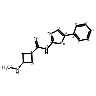 CN[C@H]1C[C@@H](C(=O)Nc2ncc(-c3ccccc3)s2)C1